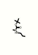 CCCNN(C)C(=O)OC(C)(C)C